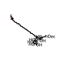 CCCCCCCCCCCCCC[C@@H](O)[C@@H](O)[C@H](COC1OC(CO)C(O)C(O)C1O)NC(=O)CCCCCCCCCCCCCCCCCCCCCCCCC12CC(F)(C1)C2